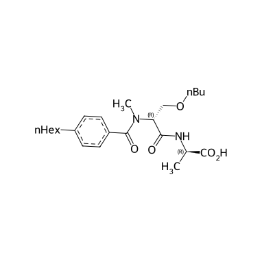 CCCCCCc1ccc(C(=O)N(C)[C@H](COCCCC)C(=O)N[C@H](C)C(=O)O)cc1